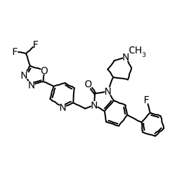 CN1CCC(n2c(=O)n(Cc3ccc(-c4nnc(C(F)F)o4)cn3)c3ccc(-c4ccccc4F)cc32)CC1